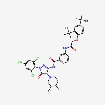 CCC1CN(C2C(=O)N(c3c(Cl)cc(Cl)cc3Cl)N=C2NC(=O)c2cccc(NC(=O)COc3ccc(C(C)(C)CC)cc3C(C)(C)CC)c2)CCC1C